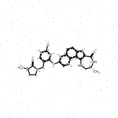 C[C@@H]1CNc2c(sc3ccc4nc(Oc5nc(Cl)ncc5CN5CC[C@@H](C)C5=O)cnc4c23)C(=O)N1